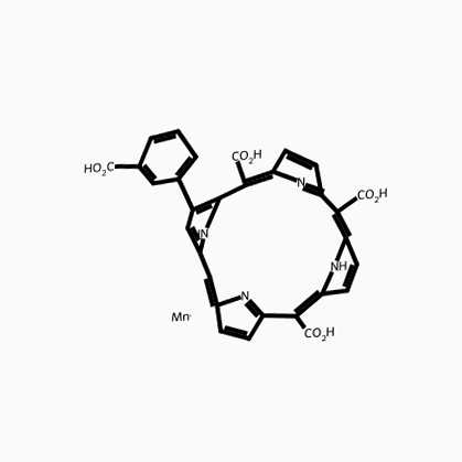 O=C(O)c1cccc(-c2cc3cc4nc(c(C(=O)O)c5ccc([nH]5)c(C(=O)O)c5nc(c(C(=O)O)c2[nH]3)C=C5)C=C4)c1.[Mn]